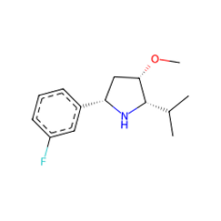 CO[C@H]1C[C@@H](c2cccc(F)c2)N[C@H]1C(C)C